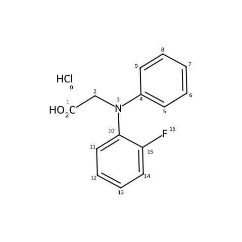 Cl.O=C(O)CN(c1ccccc1)c1ccccc1F